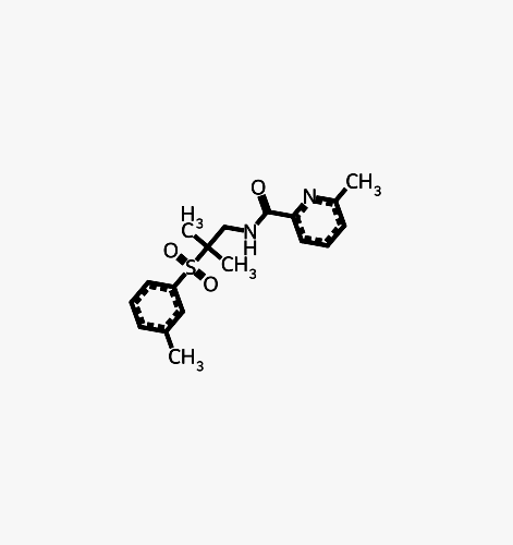 Cc1cccc(S(=O)(=O)C(C)(C)CNC(=O)c2cccc(C)n2)c1